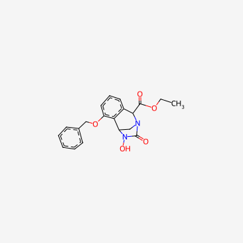 CCOC(=O)C1c2cccc(OCc3ccccc3)c2C2CN1C(=O)N2O